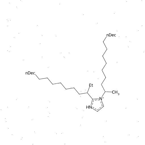 CCCCCCCCCCCCCCCCCC(CC)c1[nH]cc[n+]1C(C)CCCCCCCCCCCCCCCCC